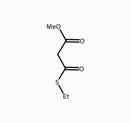 CCSC(=O)CC(=O)OC